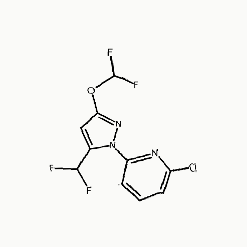 FC(F)Oc1cc(C(F)F)n(-c2[c]ccc(Cl)n2)n1